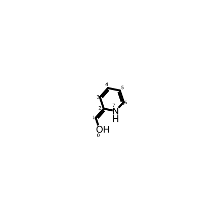 O/C=C1/C=CC=[C]N1